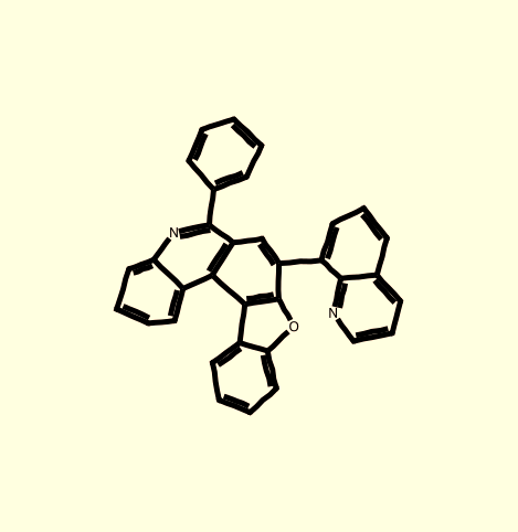 c1ccc(-c2nc3ccccc3c3c2cc(-c2cccc4cccnc24)c2oc4ccccc4c23)cc1